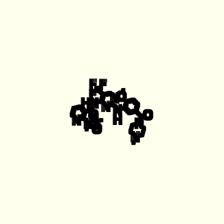 COc1ccc(C(=O)N2CCN(C)CC2)cc1Nc1ncc(C(F)(F)F)c(NCc2cccnc2N(C)S(C)(=O)=O)n1